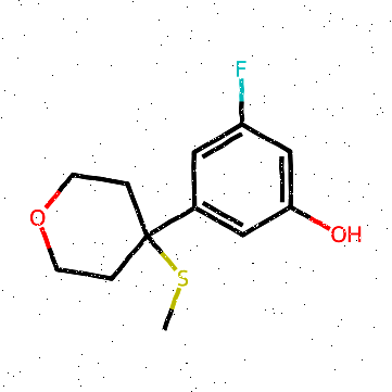 CSC1(c2cc(O)cc(F)c2)CCOCC1